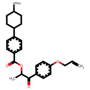 C=CCOc1ccc(C(=O)C(C)OC(=O)c2ccc(C3CCC(CCCCCC)CC3)cc2)cc1